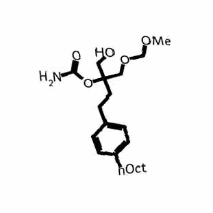 CCCCCCCCc1ccc(CCC(CO)(COCOC)OC(N)=O)cc1